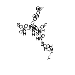 COc1ccc(C(NCCCCC(NC(=O)CC(Cc2ccc(F)cc2)NC(=O)CCC(=O)NCCCO[C@H]2CC[C@@]3(C)C(=CC[C@H]4[C@@H]5CC[C@H](C(C)CCCC(C)C)[C@@]5(C)CC[C@@H]43)C2)C(=O)Nc2ccc(COC(=O)Oc3ccc([N+](=O)[O-])cc3)cc2)(c2ccccc2)c2ccccc2)cc1